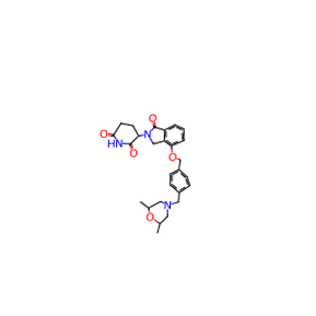 CC1CN(Cc2ccc(COc3cccc4c3CN(C3CCC(=O)NC3=O)C4=O)cc2)CC(C)O1